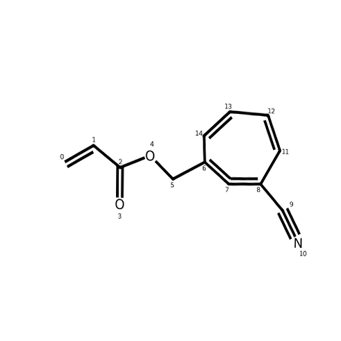 C=CC(=O)OCC1=C=C(C#N)C=CC=C1